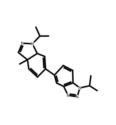 CC(C)N1N=CC2(C)C=CC(c3ccc4c(c3)nnn4C(C)C)=CC12